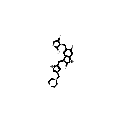 O=C1Nc2cc(F)c(CN3C(=O)CSC3=O)cc2C1=Cc1cc(CN2CCOCC2)c[nH]1